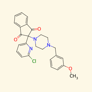 COc1cccc(CN2CCN(C3(c4cccc(Cl)n4)C(=O)c4ccccc4C3=O)CC2)c1